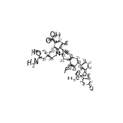 CC1(c2ccc(Cl)cc2F)Oc2cccc(-c3cc(F)c(Cc4nc5c(F)cc(C(=O)O)cc5n4CC4(CC(N)O)CC4)c(F)c3)c2O1